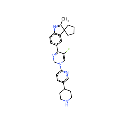 CC1=Nc2ccc(C3=NCN(c4ccc(C5CCNCC5)cn4)C=C3F)cc2C12CCCC2